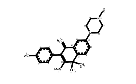 C=C1C(c2ccc(C#N)cc2)=C(NC)C(C)(C)c2ccc(N3CCN(C(C)C)CC3)cc21